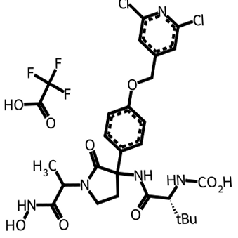 CC(C(=O)NO)N1CCC(NC(=O)[C@H](NC(=O)O)C(C)(C)C)(c2ccc(OCc3cc(Cl)nc(Cl)c3)cc2)C1=O.O=C(O)C(F)(F)F